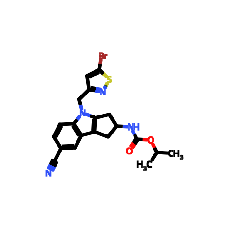 CC(C)OC(=O)NC1Cc2c(n(Cc3cc(Br)sn3)c3ccc(C#N)cc23)C1